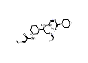 C=CC(=O)N[C@@H]1CCCN(C(C/N=C\CC)NN/C=N\C(=C)N2CCOCC2)C1